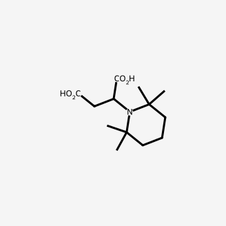 CC1(C)CCCC(C)(C)N1C(CC(=O)O)C(=O)O